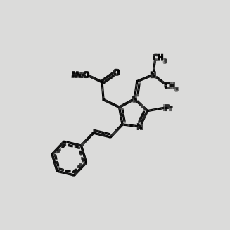 COC(=O)CC1=C(C=Cc2ccccc2)N=C(C(C)C)S1=CN(C)C